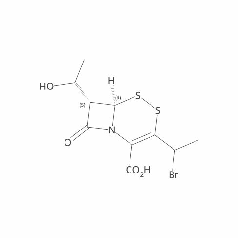 CC(Br)C1=C(C(=O)O)N2C(=O)[C@H](C(C)O)[C@H]2SS1